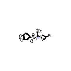 CCN/C(=N\S(=O)(=O)c1ccc2c(c1)OCO2)N1CC(CC)C=N1